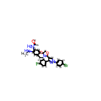 CNc1cc(CCN2C(=O)COC2c2cn(-c3ccc(Br)cc3)nc2-c2ccc(F)cc2)ccc1NC=O